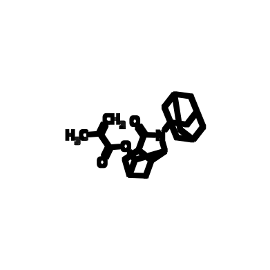 C=C(C)C(=O)OC1C2CC3C(=O)N(C45CC6CC(CC(C6)C4)C5)C1C3C2